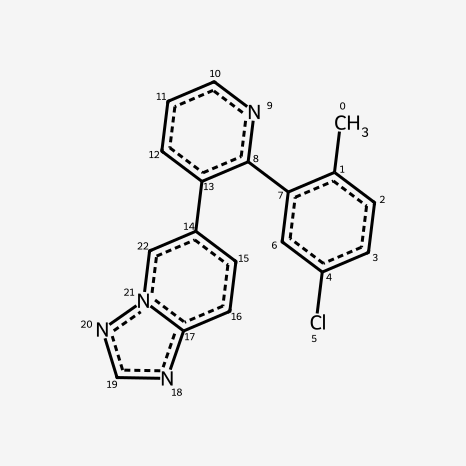 Cc1ccc(Cl)cc1-c1ncccc1-c1ccc2ncnn2c1